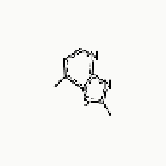 Cc1nc2nccc(C)c2s1